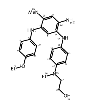 CCOc1ccc(Nc2cc(Nc3ccc(N(CC)CCO)cc3)c(N)cc2NC)cc1